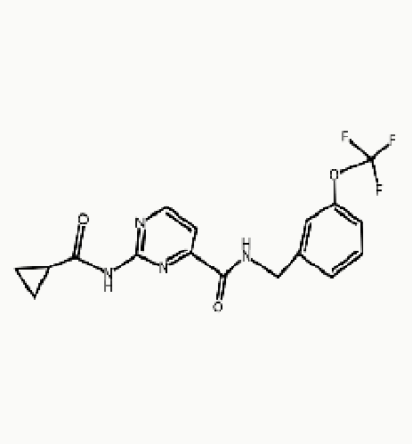 O=C(NCc1cccc(OC(F)(F)F)c1)c1ccnc(NC(=O)C2CC2)n1